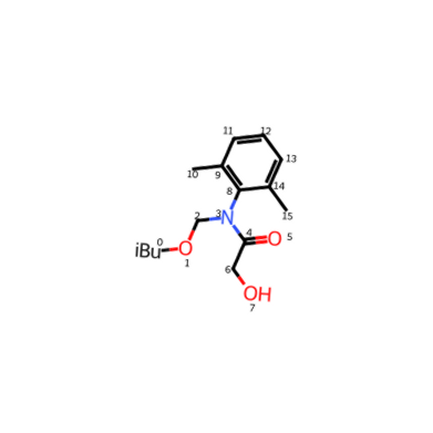 CCC(C)OCN(C(=O)CO)c1c(C)cccc1C